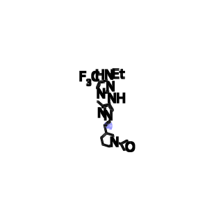 CCNc1nc(Nc2cn(/C=C/C3CCCN(C4COC4)C3)nc2C)ncc1C(F)(F)F